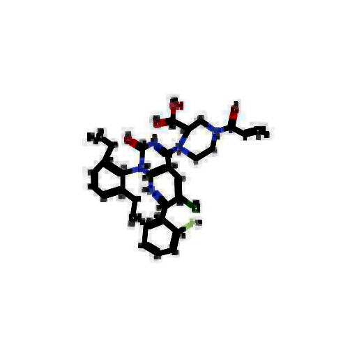 C=CC(=O)N1CCN(c2nc(=O)n(-c3c(CC)cccc3CC)c3nc(-c4ccccc4F)c(Cl)cc23)C(C(=O)O)C1